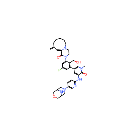 C=C1/C=C2/C(=O)N(c3cc(F)cc(-c4cc(Nc5ccc(N6CC7COCC(C6)N7)cn5)c(=O)n(C)c4)c3CO)CCN2CCCCC1